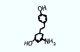 Nc1cc(O)cc(/C=C/c2ccc(O)cc2)c1